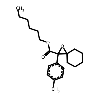 CCCCCCOC(=O)C1(c2ccc(C)cc2)OC12CCCCC2